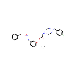 COc1ccc(CNC(=O)OCc2ccccc2)cc1OCC(O)CN1CCN(Cc2ccc(F)cc2)CC1